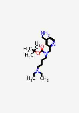 CCN(CC)CCCCN(Cc1cc(CN)ccn1)C(=O)OC(C)(C)C